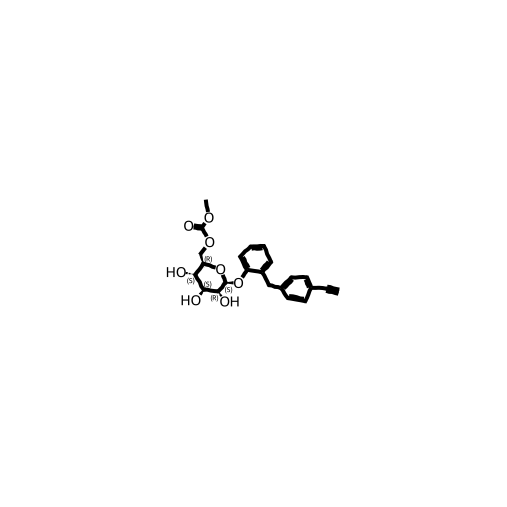 C#Cc1ccc(Cc2ccccc2O[C@@H]2O[C@H](COC(=O)OC)[C@@H](O)[C@H](O)[C@H]2O)cc1